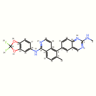 CNc1ncc2cc(-c3c(C)ccc4c(Nc5ccc6c(c5)OC(F)(F)O6)nccc34)ccc2n1